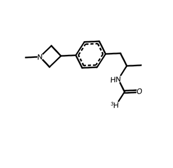 [3H]C(=O)NC(C)Cc1ccc(C2CN(C)C2)cc1